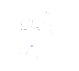 Cc1ccc(NS(C)(=O)=O)c(C(=O)N2CCCC[C@H]2c2cc3nc(C)cc(N(C)C)n3n2)c1